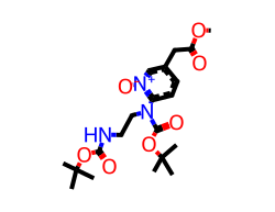 COC(=O)Cc1ccc(N(CCNC(=O)OC(C)(C)C)C(=O)OC(C)(C)C)[n+]([O-])c1